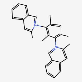 Cc1cc(C)c(-[n+]2cc3ccccc3cc2C)c(C)c1-[n+]1cc2ccccc2cc1C